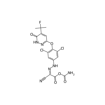 CC(C)(F)c1cc(Oc2c(Cl)cc(NN=C(C#N)C(=O)OC(N)=O)cc2Cl)n[nH]c1=O